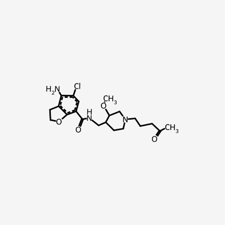 COC1CN(CCCC(C)=O)CCC1CNC(=O)c1cc(Cl)c(N)c2c1OCC2